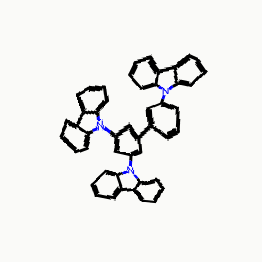 c1cc(-c2cc(-n3c4ccccc4c4ccccc43)cc(-n3c4ccccc4c4ccccc43)c2)cc(-n2c3ccccc3c3ccccc32)c1